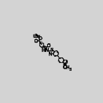 Cn1ccc2cc(-c3ccc4sc(NC(=O)[C@H]5CCN(C(=O)OC(C)(C)C)C5)nc4c3)ccc21